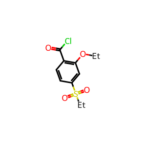 CCOc1cc(S(=O)(=O)CC)ccc1C(=O)Cl